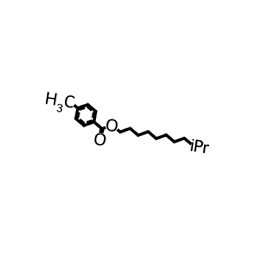 Cc1ccc(C(=O)OCCCCCCCCC(C)C)cc1